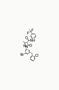 CC1=NN(c2cc(Br)cc(Cc3ccccc3Cl)c2)C(=O)C1C(=O)Nc1cccc(C(C)(F)F)c1